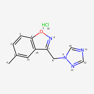 Cc1ccc2onc(Cn3cncn3)c2c1.Cl